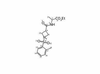 CCOC(=O)C(C)NC(=O)C1CN(S(=O)(=O)c2ccccc2C)C1